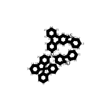 c1ccc2c(c1)-c1ccccc1C21c2ccccc2-c2ccc(N(c3ccc4oc5ccccc5c4c3)c3ccc4c5ccccc5c5cc6sc7ccccc7c6cc5c4c3)cc21